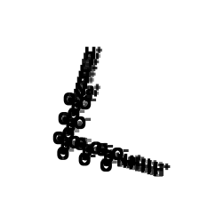 [H+].[H+].[H+].[H+].[H+].[H+].[H+].[H+].[H+].[H+].[H+].[H+].[Na+].[Na+].[Na+].[O-]B([O-])[O-].[O-]B([O-])[O-].[O-]B([O-])[O-].[O-]B([O-])[O-].[O-]B([O-])[O-]